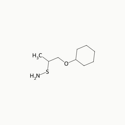 CC(COC1CCCCC1)SN